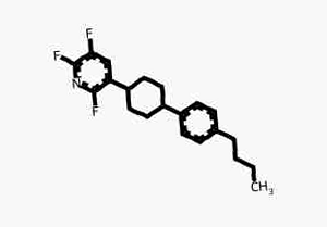 CCCCc1ccc(C2CCC(c3cc(F)c(F)nc3F)CC2)cc1